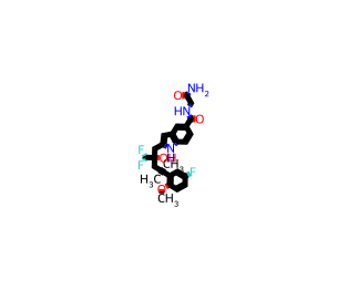 COc1ccc(F)cc1C(C)(C)CC(O)(Cc1cc2cc(C(=O)NCC(N)=O)ccc2[nH]1)C(F)F